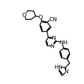 N#Cc1cc(-c2ccnc(Nc3ccc(Cc4ncc[nH]4)cc3)n2)ccc1OC1CCOCC1